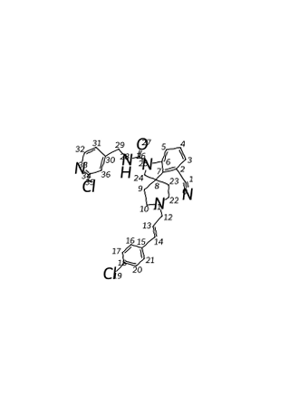 N#Cc1cccc2c1C1(CCN(CC=Cc3ccc(Cl)cc3)CC1)CN2C(=O)NCc1ccnc(Cl)c1